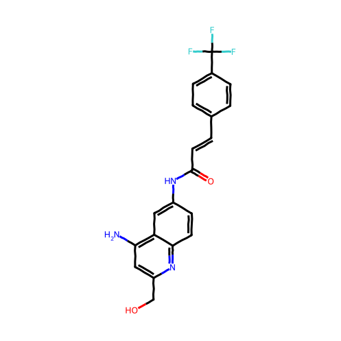 Nc1cc(CO)nc2ccc(NC(=O)C=Cc3ccc(C(F)(F)F)cc3)cc12